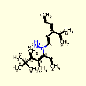 C=C/C=C(\C=C\N(N)/C(CC)=C(/C)C(=C)C(C)(C)C)C(=C)C